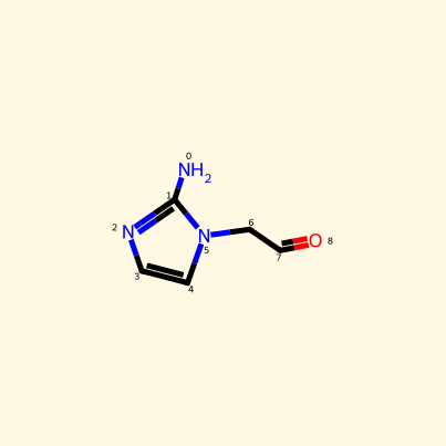 Nc1nccn1C[C]=O